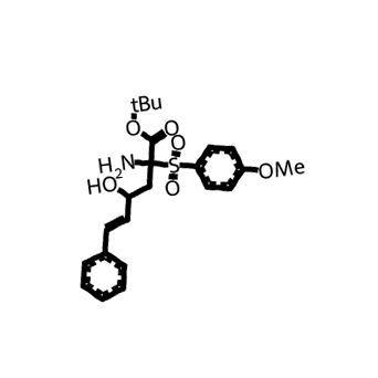 COc1ccc(S(=O)(=O)C(N)(CC(O)C=Cc2ccccc2)C(=O)OC(C)(C)C)cc1